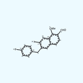 COc1c(C=O)ccc2cc(Cc3ccc(F)cc3)c(I)nc12